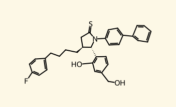 OCc1ccc([C@@H]2[C@@H](CCCCc3ccc(F)cc3)CC(=S)N2c2ccc(-c3ccccc3)cc2)c(O)c1